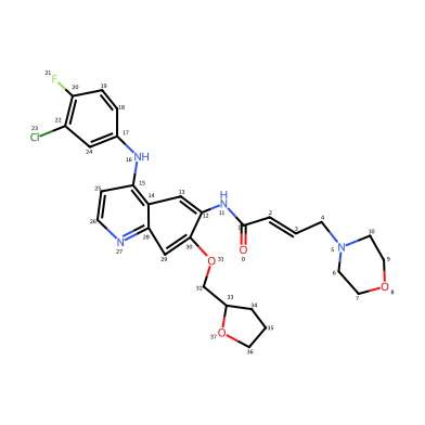 O=C(C=CCN1CCOCC1)Nc1cc2c(Nc3ccc(F)c(Cl)c3)ccnc2cc1OCC1CCCO1